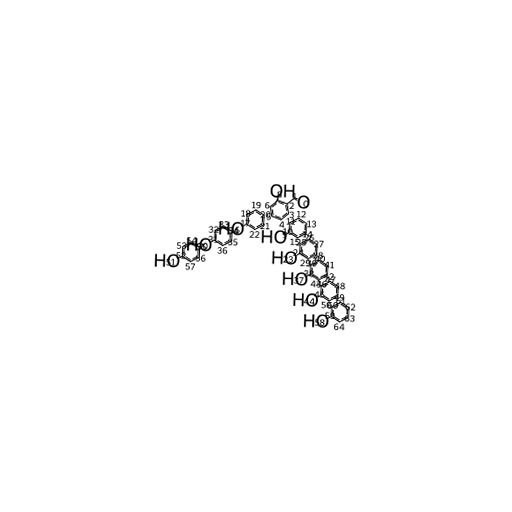 O=Cc1ccccc1O.Oc1ccccc1.Oc1ccccc1.Oc1ccccc1.Oc1ccccc1.Oc1ccccc1.Oc1ccccc1.Oc1ccccc1.Oc1ccccc1